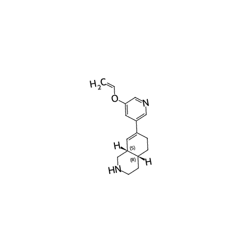 C=COc1cncc(C2=C[C@H]3CNCC[C@H]3CC2)c1